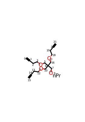 C#CCCOCC(COCCC)(COCCC#C)COCCC#C